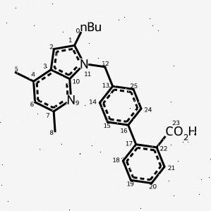 CCCCc1cc2c(C)cc(C)nc2n1Cc1ccc(-c2ccccc2C(=O)O)cc1